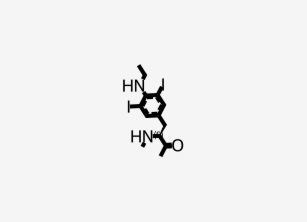 CCNc1c(I)cc(C[C@H](NC)C(C)=O)cc1I